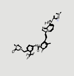 C=C(/C=N\N(C)C)NC1=CC=CN2C1=NCC2C#Cc1cc(C(=O)Nc2ccc(CN3CCN(C)C(=O)C3)c(C(F)(F)F)c2)c(F)cc1C